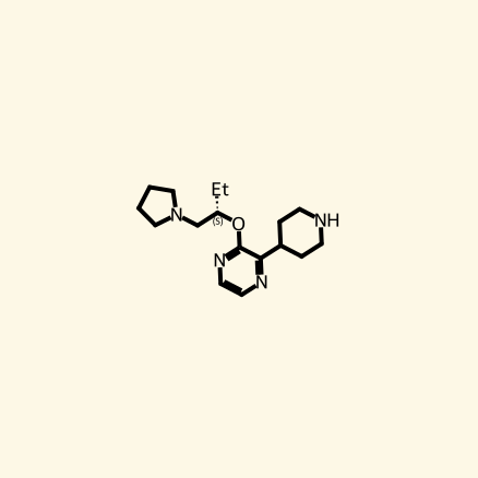 CC[C@@H](CN1CCCC1)Oc1nccnc1C1CCNCC1